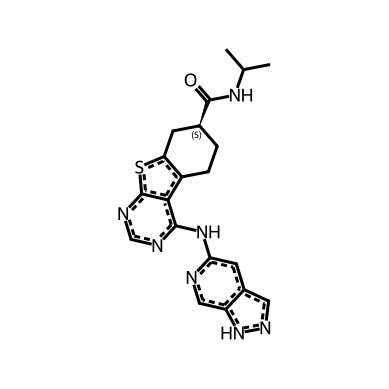 CC(C)NC(=O)[C@H]1CCc2c(sc3ncnc(Nc4cc5cn[nH]c5cn4)c23)C1